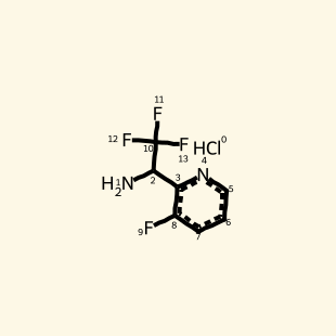 Cl.NC(c1ncccc1F)C(F)(F)F